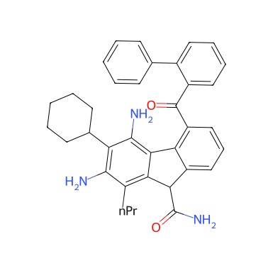 CCCc1c(N)c(C2CCCCC2)c(N)c2c1C(C(N)=O)c1cccc(C(=O)c3ccccc3-c3ccccc3)c1-2